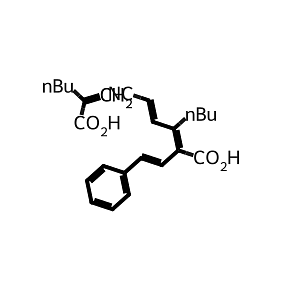 C=C(CCCC)C(=O)O.CCCCC(C=CC#N)=C(C=Cc1ccccc1)C(=O)O